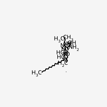 [CH2]CC(CC1O[C@@H](n2cc(C(N)=NO)c3c(NCCC(C)C)ncnc32)[C@H](O)C1O)OCCCCCCCCCCCCCCCC